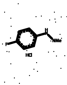 CNNc1ccc(F)cc1.Cl